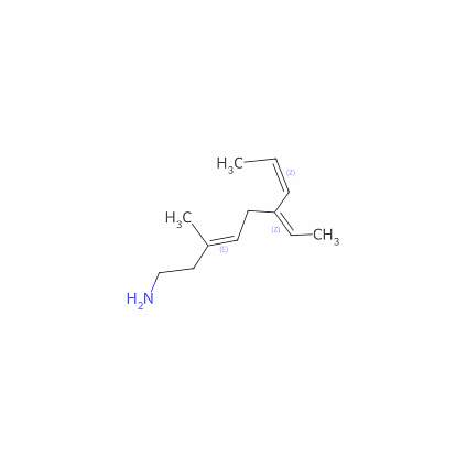 C/C=C\C(=C/C)C/C=C(\C)CCN